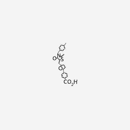 C=c1s/c(=C\c2ccc(-c3ccc(C(=O)O)cc3)o2)c(=O)n1Cc1ccc(C)cc1